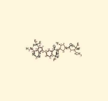 CC(CC(=O)N1C[C@H](F)[C@H](NC(=O)c2cc(-c3cc(C(F)(F)F)c4c(N)ncnn34)ccc2C(F)(F)F)C1)C(F)(F)F